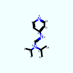 CC(C)N(C=Nc1[c]cncc1)C(C)C